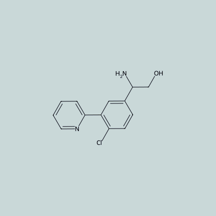 NC(CO)c1ccc(Cl)c(-c2ccccn2)c1